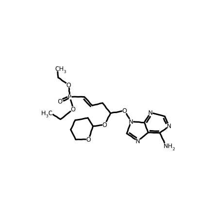 CCOP(=O)(C=CCC(OC1CCCCO1)On1cnc2c(N)ncnc21)OCC